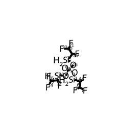 O=P(O[SiH2]C(F)C(F)F)(O[SiH2]C(F)C(F)F)O[SiH2]C(F)C(F)F